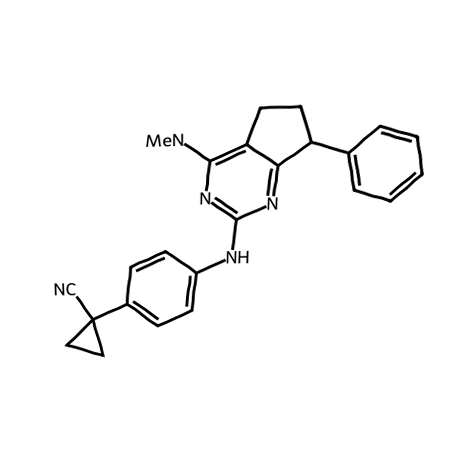 CNc1nc(Nc2ccc(C3(C#N)CC3)cc2)nc2c1CCC2c1ccccc1